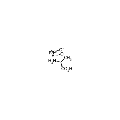 CC(=O)[O-].CC(=O)[O-].C[C@H](N)C(=O)O.[Pd+2]